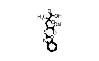 CC(C)(CC(Sc1nc2ccccc2o1)C(=O)O)C(=O)O